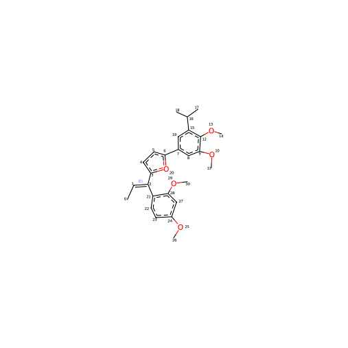 C/C=C(/c1ccc(-c2cc(OC)c(OC)c(C(C)C)c2)o1)c1ccc(OC)cc1OC